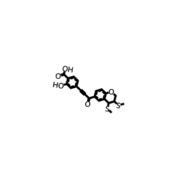 CSC1COc2ccc(C(=O)C#Cc3ccc(C(=O)O)c(O)c3)cc2C1SC